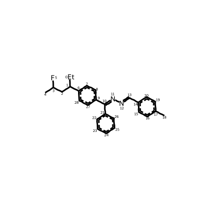 CCC(CC(C)F)c1ccc(C(=NN=Cc2ccc(C)cc2)c2ccccc2)cc1